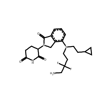 NCC(F)(F)CCN(CCC1CC1)c1cccc2c1CN(C1CCC(=O)NC1=O)C2=O